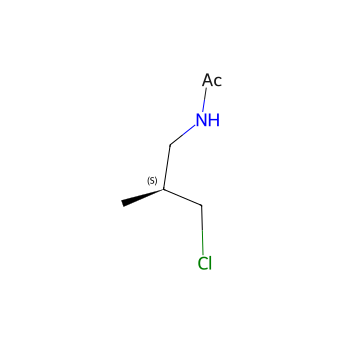 CC(=O)NC[C@H](C)CCl